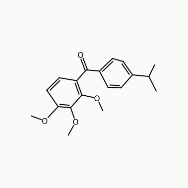 COc1ccc(C(=O)c2ccc(C(C)C)cc2)c(OC)c1OC